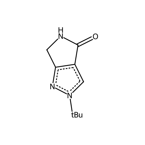 CC(C)(C)n1cc2c(n1)CNC2=O